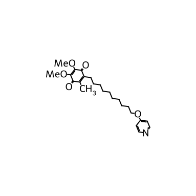 COC1=C(OC)C(=O)C(CCCCCCCCCCOc2ccncc2)=C(C)C1=O